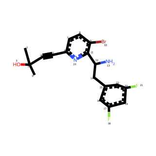 CC(C)(O)C#Cc1ccc(Br)c(C(N)Cc2cc(F)cc(F)c2)n1